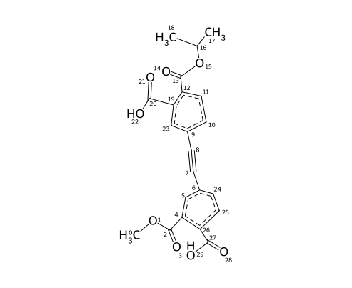 COC(=O)c1cc(C#Cc2ccc(C(=O)OC(C)C)c(C(=O)O)c2)ccc1C(=O)O